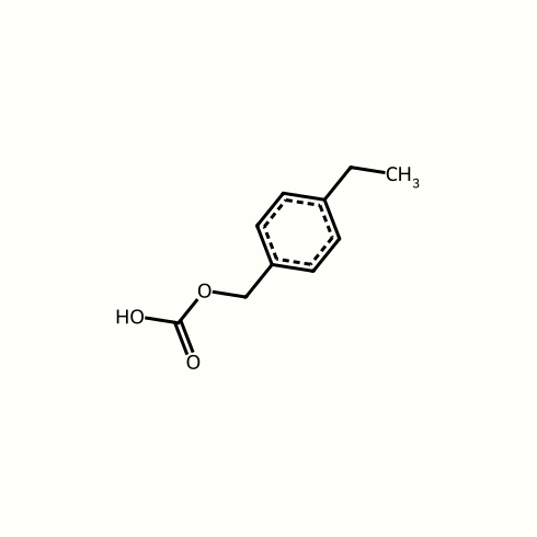 CCc1ccc(COC(=O)O)cc1